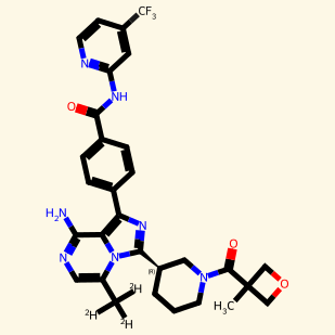 [2H]C([2H])([2H])c1cnc(N)c2c(-c3ccc(C(=O)Nc4cc(C(F)(F)F)ccn4)cc3)nc([C@@H]3CCCN(C(=O)C4(C)COC4)C3)n12